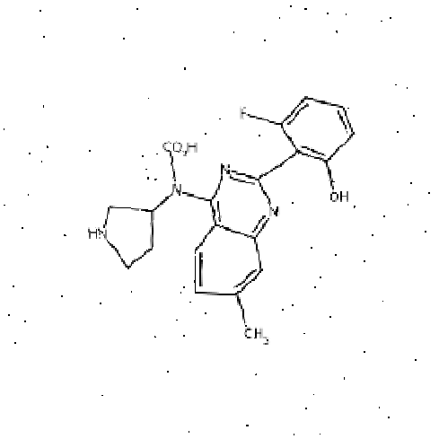 Cc1ccc2c(N(C(=O)O)C3CCNC3)nc(-c3c(O)cccc3F)nc2c1